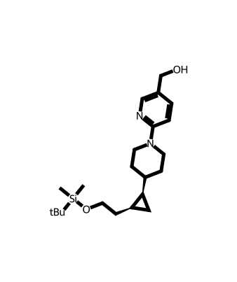 CC(C)(C)[Si](C)(C)OCC[C@@H]1C[C@@H]1C1CCN(c2ccc(CO)cn2)CC1